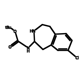 CC(C)(C)OC(=O)NC1Cc2cc(Cl)ccc2CCN1